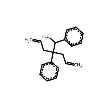 C=CCC(CC=C)(c1ccccc1)C(C)c1ccccc1